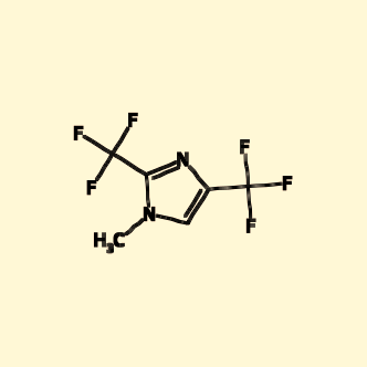 Cn1cc(C(F)(F)F)nc1C(F)(F)F